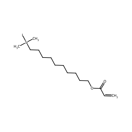 C=CC(=O)OCCCCCCCCCC[Si](C)(C)I